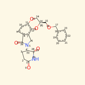 O=C1CC[C@H](N2Cc3c(ccc4c3O[C@H](COCc3ccccc3)CO4)C2=O)C(=O)N1